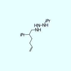 C=CCCC(CNNNC(C)C)C(C)C